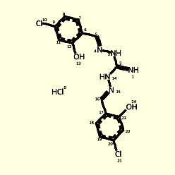 Cl.N=C(NN=Cc1ccc(Cl)cc1O)NN=Cc1ccc(Cl)cc1O